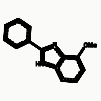 [CH2]Oc1cccc2[nH]c(-c3ccccc3)nc12